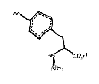 CC(=O)c1ccc(CC(NN)C(=O)O)cc1